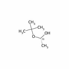 C[C@@H](O)OC(C)(C)C